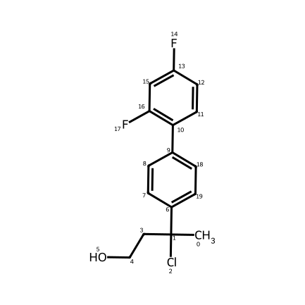 CC(Cl)(CCO)c1ccc(-c2ccc(F)cc2F)cc1